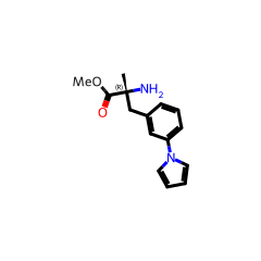 COC(=O)[C@](C)(N)Cc1cccc(-n2cccc2)c1